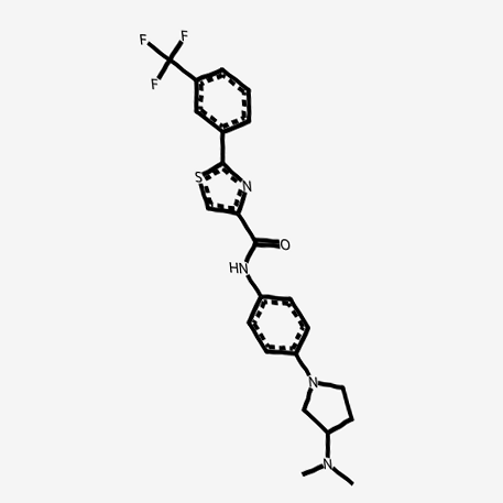 CN(C)C1CCN(c2ccc(NC(=O)c3csc(-c4cccc(C(F)(F)F)c4)n3)cc2)C1